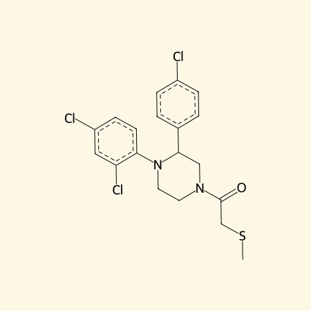 CSCC(=O)N1CCN(c2ccc(Cl)cc2Cl)C(c2ccc(Cl)cc2)C1